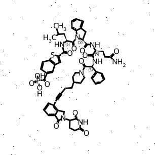 CC(C)C[C@H](NC(=O)c1cc2cc(C(=O)P(=O)(O)O)ccc2s1)C(=O)N1c2ccccc2C[C@H]1C(=O)N[C@@H](CCC(N)=O)C(=O)N[C@H](C(=O)N1CCC(CCC#Cc2cccc3c2CN(C2CCC(=O)NC2=O)C3=O)CC1)c1ccccc1